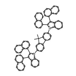 CC1(C)c2cc(-n3c(-c4cccc5ccccc45)c(-c4cccc5ccccc45)c4ccccc43)ccc2-c2ccc(-n3c(-c4cccc5ccccc45)c(-c4cccc5ccccc45)c4ccccc43)cc21